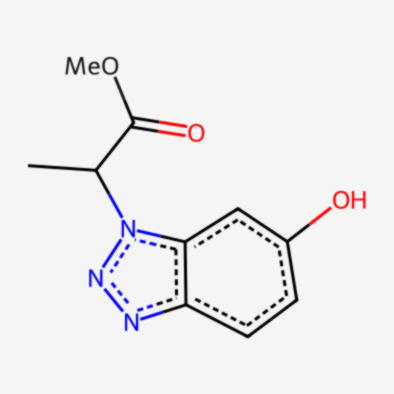 COC(=O)C(C)n1nnc2ccc(O)cc21